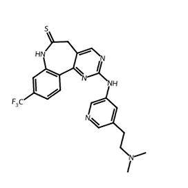 CN(C)CCc1cncc(Nc2ncc3c(n2)-c2ccc(C(F)(F)F)cc2NC(=S)C3)c1